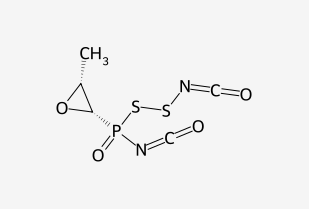 C[C@H]1O[C@H]1P(=O)(N=C=O)SSN=C=O